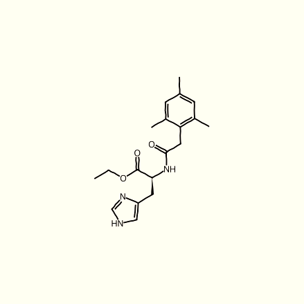 CCOC(=O)[C@H](Cc1c[nH]cn1)NC(=O)Cc1c(C)cc(C)cc1C